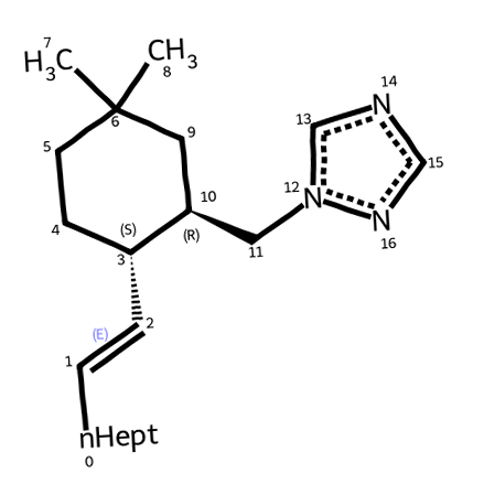 CCCCCCC/C=C/[C@@H]1CCC(C)(C)C[C@H]1Cn1cncn1